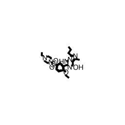 CCCc1nc(C)c2n1NC(c1cc(S(=O)(=O)N3CCN(CC)CC3)ccc1OCC)=NC2O